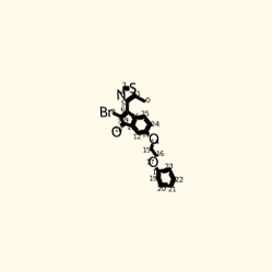 Cc1scnc1C1=C(Br)C(=O)c2cc(OCCOc3ccccc3)ccc21